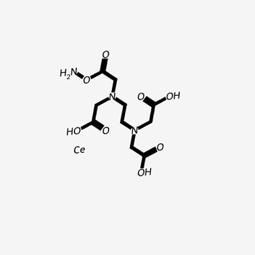 NOC(=O)CN(CCN(CC(=O)O)CC(=O)O)CC(=O)O.[Ce]